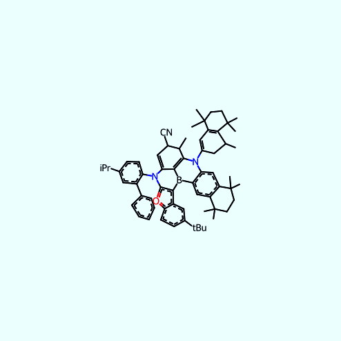 CC1CC(N2C3=C4B(c5cc6c(cc52)C(C)(C)CCC6(C)C)c2c(oc5ccc(C(C)(C)C)cc25)N(c2ccc(C(C)C)cc2-c2ccccc2)C4=CC(C#N)C3C)=CC2=C1C(C)(C)CCC2(C)C